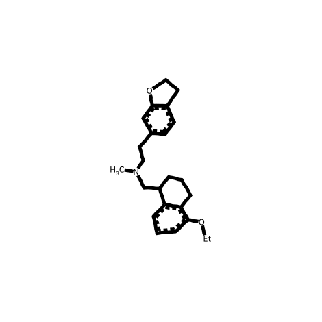 CCOc1cccc2c1CCCC2CN(C)CCc1ccc2c(c1)OCC2